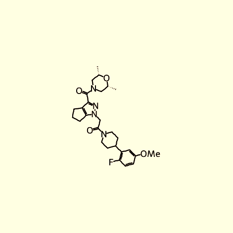 COc1ccc(F)c(C2CCN(C(=O)Cn3nc(C(=O)N4C[C@@H](C)O[C@@H](C)C4)c4c3CCC4)CC2)c1